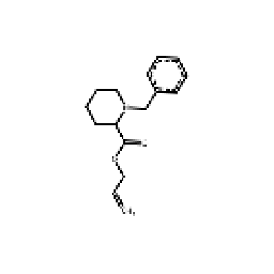 C=CCOC(=O)C1CCCCN1Cc1ccccc1